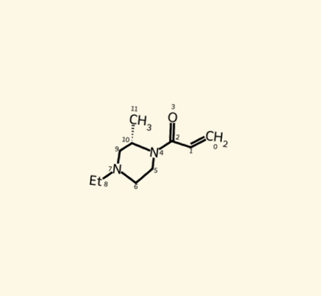 C=CC(=O)N1CCN(CC)C[C@@H]1C